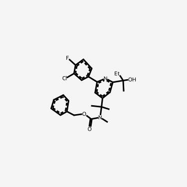 CCC(C)(O)c1cc(C(C)(C)N(C)C(=O)OCc2ccccc2)cc(-c2ccc(F)c(Cl)c2)n1